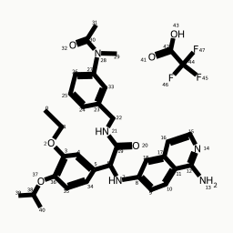 CCOc1cc(C(Nc2ccc3c(N)nccc3c2)C(=O)NCc2cccc(N(C)C(C)=O)c2)ccc1OC(C)C.O=C(O)C(F)(F)F